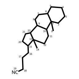 CC12CCCCC1CCC1C2CCC2(C)C(CCCC#N)CCC12